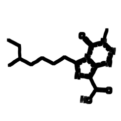 CCC(C)CCCCc1nc(C(=O)O)c2nnn(C)c(=O)n12